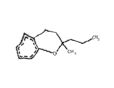 CCCC1(C)C[CH]c2ccccc2O1